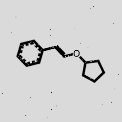 C(=Cc1ccccc1)OC1CCCC1